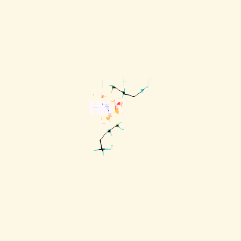 O=S(=O)(NS(=O)(=O)C(F)(F)C(F)(F)CC(F)(F)F)C(F)(F)C(F)(F)CC(F)(F)F